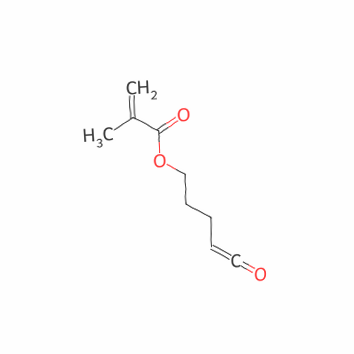 C=C(C)C(=O)OCCCC=C=O